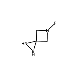 FN1CC2(BN2)C1